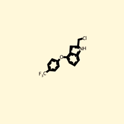 FC(F)(F)c1ccc(Oc2cccc3[nH]c(CCl)cc23)cc1